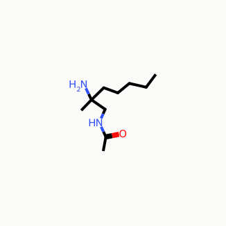 CCCCCC(C)(N)CNC(C)=O